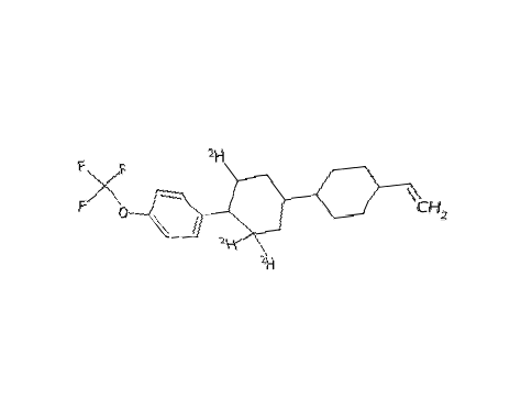 [2H]C1CC(C2CCC(C=C)CC2)CC([2H])([2H])C1c1ccc(OC(F)(F)F)cc1